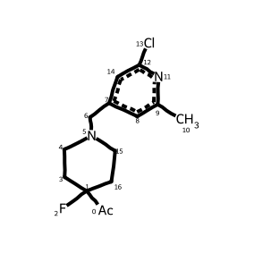 CC(=O)C1(F)CCN(Cc2cc(C)nc(Cl)c2)CC1